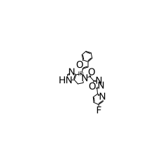 O=C(c1nnc(-c2ccc(F)cn2)o1)N1CCc2[nH]cnc2[C@H]1c1cc2ccccc2o1